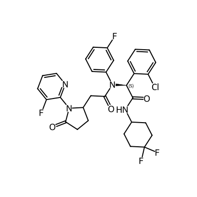 O=C(NC1CCC(F)(F)CC1)[C@H](c1ccccc1Cl)N(C(=O)CC1CCC(=O)N1c1ncccc1F)c1cccc(F)c1